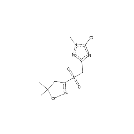 Cn1nc(CS(=O)(=O)C2=NOC(C)(C)C2)nc1Cl